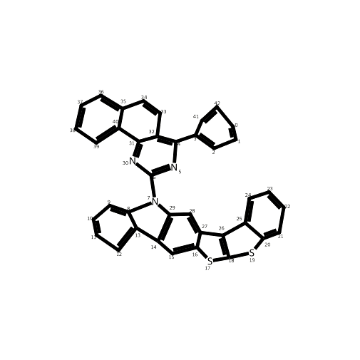 c1ccc(-c2nc(-n3c4ccccc4c4cc5sc6sc7ccccc7c6c5cc43)nc3c2ccc2ccccc23)cc1